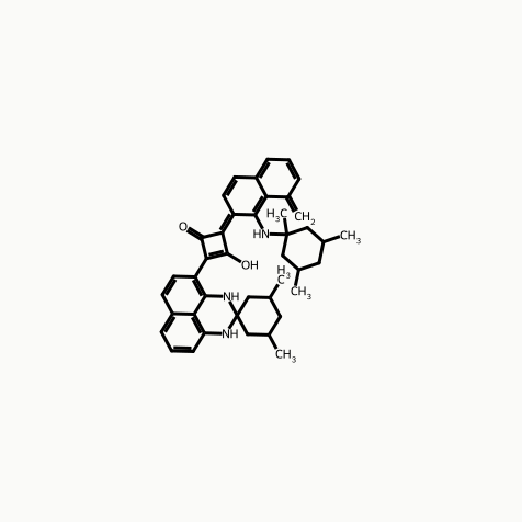 C=c1cccc2cc/c(=C3\C(=O)C(c4ccc5cccc6c5c4NC4(CC(C)CC(C)C4)N6)=C3O)c(NC3(C)CC(C)CC(C)C3)c12